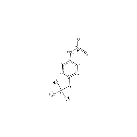 CC(C)(C)Cc1ccc(N[SH](=O)=O)cc1